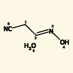 N#CCC=NO.O